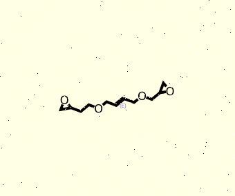 C(=C\COCC1CO1)/COCCC1CO1